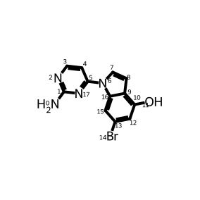 Nc1nccc(-n2ccc3c(O)cc(Br)cc32)n1